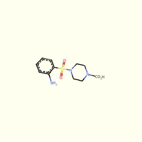 Nc1ccccc1S(=O)(=O)N1CCN(C(=O)O)CC1